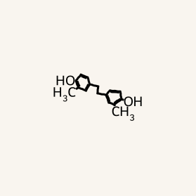 Cc1cc(CCc2ccc(O)c(C)c2)ccc1O